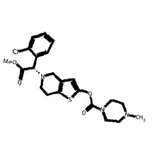 COC(=O)[C@H](c1ccccc1Cl)N1CCc2sc(OC(=O)N3CCN(C)CC3)cc2C1